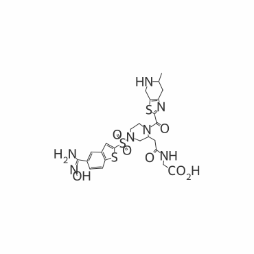 CC1Cc2nc(C(=O)N3CCN(S(=O)(=O)c4cc5cc(/C(N)=N\O)ccc5s4)CC3CC(=O)NCC(=O)O)sc2CN1